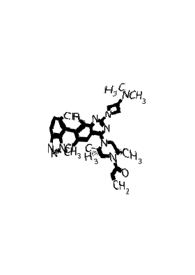 C=CC(=O)N1C[C@H](C)N(c2nc(N3CC(N(C)C)C3)nc3c(F)c(-c4c(C)ccc5nnn(C)c45)c(Cl)cc23)C[C@H]1C